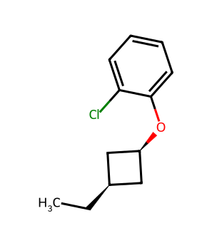 CC[C@H]1C[C@@H](Oc2ccccc2Cl)C1